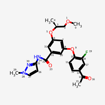 COC[C@H](C)Oc1cc(Oc2ccc(C(C)=O)cc2F)cc(C(=O)Nc2ccn(C)n2)c1